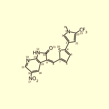 Cn1cc(-c2ccc(C=C3C(=O)Nc4ncc([N+](=O)[O-])cc43)s2)cc1C(F)(F)F